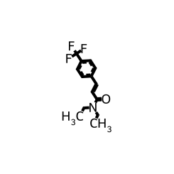 CCN(CC)C(=O)C=Cc1ccc(C(F)(F)F)cc1